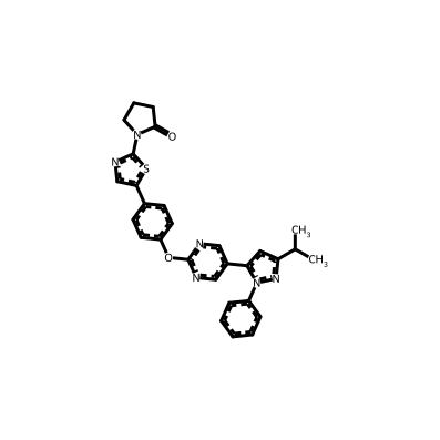 CC(C)c1cc(-c2cnc(Oc3ccc(-c4cnc(N5CCCC5=O)s4)cc3)nc2)n(-c2ccccc2)n1